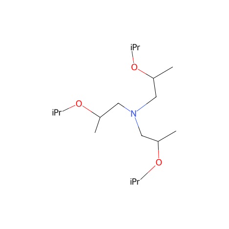 CC(C)OC(C)CN(CC(C)OC(C)C)CC(C)OC(C)C